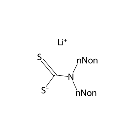 CCCCCCCCCN(CCCCCCCCC)C(=S)[S-].[Li+]